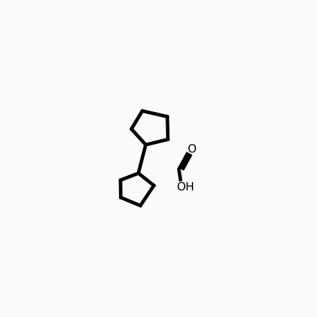 C1CCC(C2CCCC2)C1.O=CO